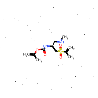 C=C(C)OC(=O)N[C@@H](CNC)CS(=O)(=O)C(=C)C